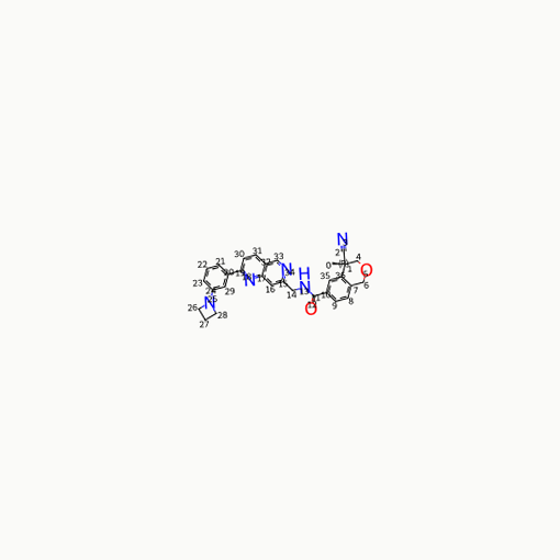 C[C@@]1(C#N)COCc2ccc(C(=O)NCc3cc4nc(-c5cccc(N6CCC6)c5)ccc4cn3)cc21